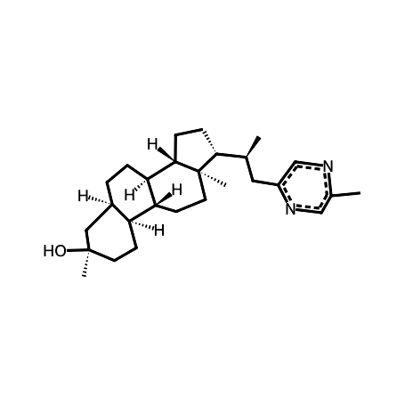 Cc1cnc(C[C@H](C)[C@H]2CC[C@H]3[C@@H]4CC[C@@H]5C[C@](C)(O)CC[C@@H]5[C@H]4CC[C@]23C)cn1